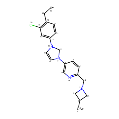 CC(=O)OC1CN(Cc2ccc(N3C=CN(c4ccc(CC(C)C)c(Cl)c4)C3)cn2)C1